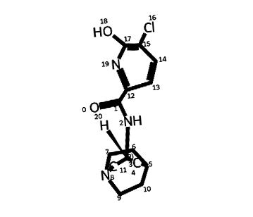 O=C(N[C@@H]1CC2CCN(CC2)C1)c1ccc(Cl)c(O)n1